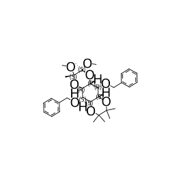 CO[C@@]1(C)O[C@@H]2[C@H](OCc3ccccc3)[C@@H]3OC(C)(C)C(C)(C)O[C@H]3[C@H](OCc3ccccc3)[C@H]2O[C@]1(C)OC